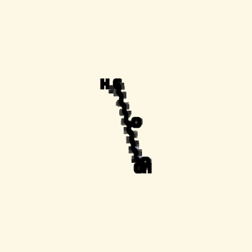 CCCCCCCCCC(=O)CCC/C=C/C=C/C(=O)O